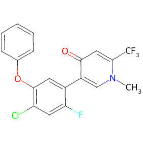 Cn1cc(-c2cc(Oc3ccccc3)c(Cl)cc2F)c(=O)cc1C(F)(F)F